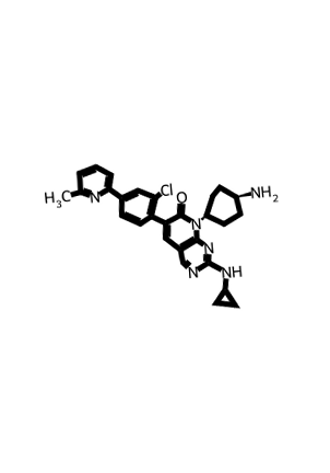 Cc1cccc(-c2ccc(-c3cc4cnc(NC5CC5)nc4n([C@H]4CC[C@H](N)CC4)c3=O)c(Cl)c2)n1